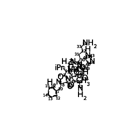 CC(C)C(N)C(=O)N(C(=O)C(N)Cc1ccccc1)C(C(=O)O)(C(=O)CN)C(C)(CC(=O)C(N)CCCCN)C(=O)C(N)Cc1c[nH]cn1